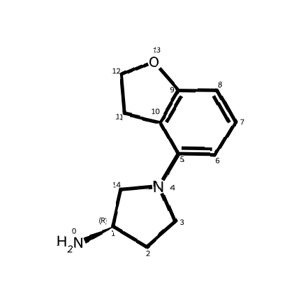 N[C@@H]1CCN(c2cccc3c2CCO3)C1